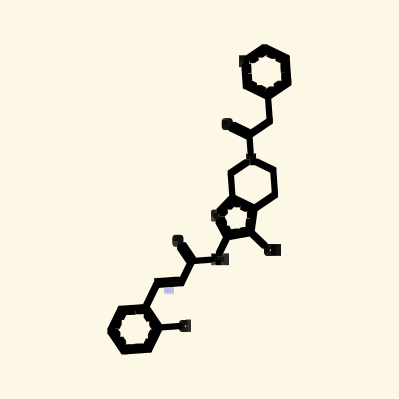 N#Cc1c(NC(=O)/C=C/c2ccccc2Cl)sc2c1CCN(C(=O)Cc1cccnc1)C2